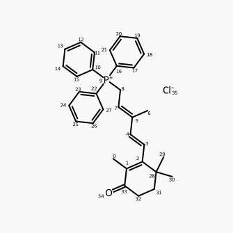 CC1=C(/C=C/C(C)=C/C[P+](c2ccccc2)(c2ccccc2)c2ccccc2)C(C)(C)CCC1=O.[Cl-]